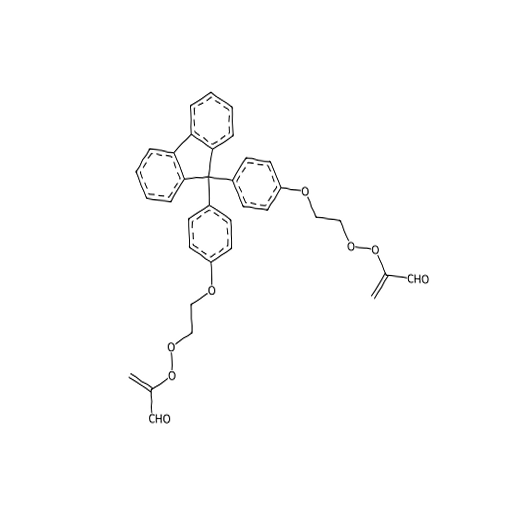 C=C(C=O)OOCCOc1ccc(C2(c3ccc(OCCOOC(=C)C=O)cc3)c3ccccc3-c3ccccc32)cc1